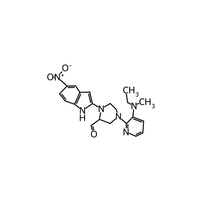 CCN(C)c1cccnc1N1CCN(c2cc3cc([N+](=O)[O-])ccc3[nH]2)C(C=O)C1